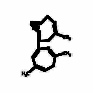 CC1=CCC(C)=NC(n2ccc3/c2=C/C/C(C)=N\C/C=3)=C1